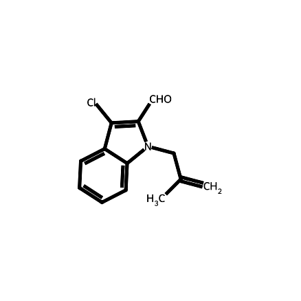 C=C(C)Cn1c(C=O)c(Cl)c2ccccc21